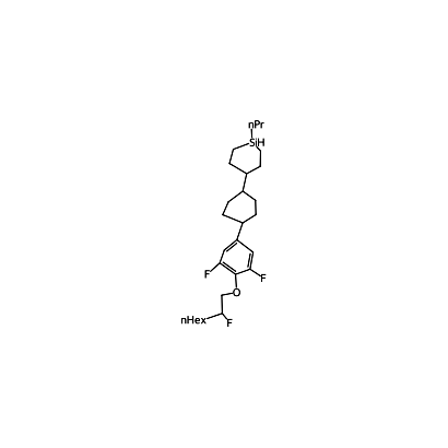 CCCCCCC(F)COc1c(F)cc(C2CCC(C3CC[SiH](CCC)CC3)CC2)cc1F